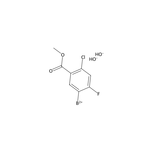 [B+2]c1cc(C(=O)OC)c(Cl)cc1F.[OH-].[OH-]